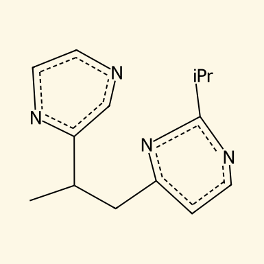 CC(C)c1nccc(CC(C)c2cnccn2)n1